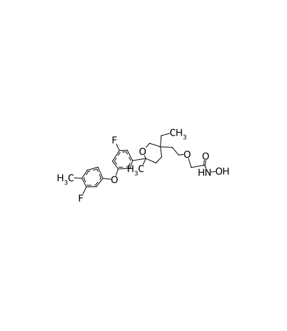 CCC1(CCOCC(=O)NO)CCC(C)(c2cc(F)cc(Oc3ccc(C)c(F)c3)c2)OC1